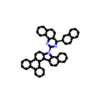 c1ccc2cc(-c3nc(-n4c5ccc6c7ccccc7c7ccccc7c6c5c5ccc6ccccc6c54)nc4c3ccc3ccccc34)ccc2c1